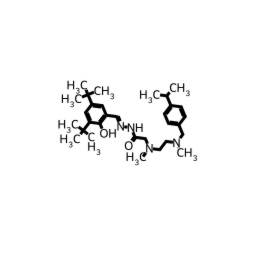 CC(C)c1ccc(CN(C)CCN(C)CC(=O)NN=Cc2cc(C(C)(C)C)cc(C(C)(C)C)c2O)cc1